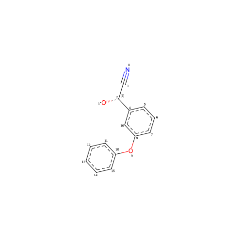 N#C[C@@H]([O])c1cccc(Oc2ccccc2)c1